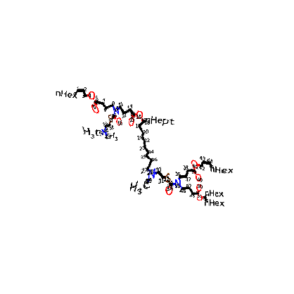 CCCCCC/C=C\COC(=O)CCCN(CCCC(=O)OC(CCCCCCC)CCCCCCCCCN(C)CCSC(=O)N(CCCC(=O)OC/C=C\CCCCCC)CCCC(=O)OC(CCCCCC)CCCCCC)C(=O)SCCN(C)C